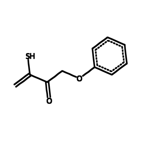 C=C(S)C(=O)COc1ccccc1